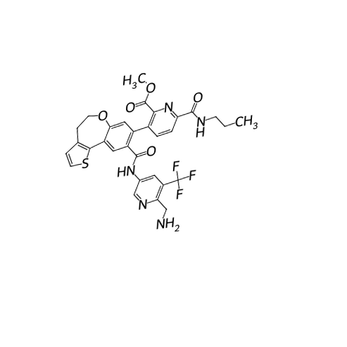 CCCNC(=O)c1ccc(-c2cc3c(cc2C(=O)Nc2cnc(CN)c(C(F)(F)F)c2)-c2sccc2CCO3)c(C(=O)OC)n1